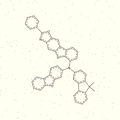 CC1(C)c2ccccc2-c2cc(N(c3ccc4c(c3)oc3ccccc34)c3cccc4c3oc3cc5nc(-c6ccccc6)oc5cc34)ccc21